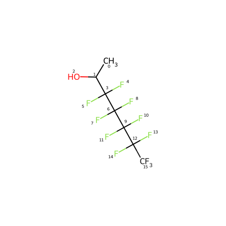 CC(O)C(F)(F)C(F)(F)C(F)(F)C(F)(F)C(F)(F)F